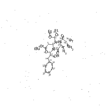 CCOC(C[C@H](CC(=O)OC(C)(C)C)N(CC(O)Cc1ccccc1)C(=O)[C@H](C)NC(=O)[C@@H](N)C(C)C)OCC